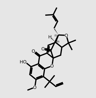 C=CC(C)(C)c1c(OC)cc(O)c2c1OC13CC4[C@@H](C=C1C2=O)[C@](CC=C(C)C)(OC4(C)C)C3=O